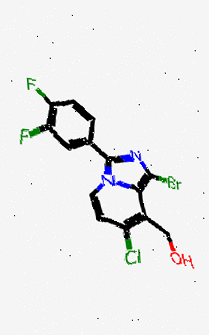 OCc1c(Cl)ccn2c(-c3ccc(F)c(F)c3)nc(Br)c12